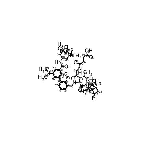 COc1c(CN2O[C@@H](CNC(=O)CCC(=O)O)[C@@H]([C@H](C)O)[C@H]2C(=O)N[C@H]2C[C@H]3C[C@@H]([C@@H]2C)C3(C)C)cccc1-c1cc(C(=O)N[C@H](CN(C)C)CC(C)(C)C)cc(N(C)C)c1